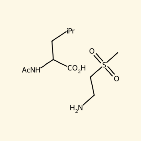 CC(=O)NC(CC(C)C)C(=O)O.CS(=O)(=O)CCN